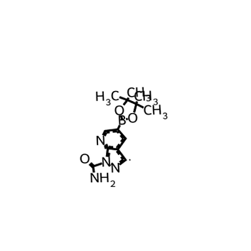 CC1(C)OB(c2cnc3c([c]nn3C(N)=O)c2)OC1(C)C